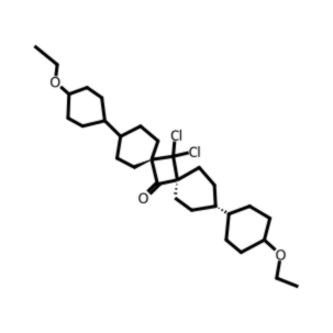 CCOC1CCC(C2CC[C@]3(CC2)C(=O)[C@@]2(CC[C@@H](C4CCC(OCC)CC4)CC2)C3(Cl)Cl)CC1